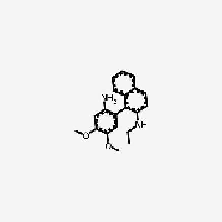 CCNc1ccc2ccccc2c1-c1cc(OC)c(OC)cc1N